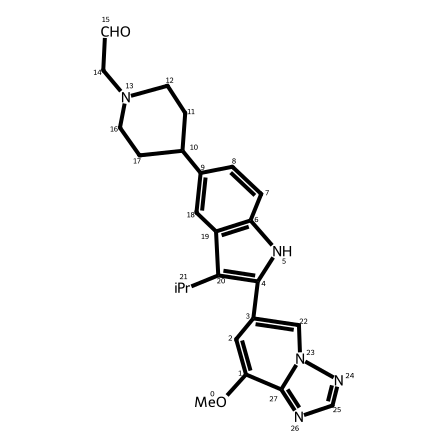 COc1cc(-c2[nH]c3ccc(C4CCN(CC=O)CC4)cc3c2C(C)C)cn2ncnc12